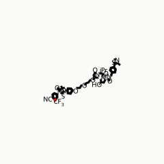 Cc1ncsc1-c1ccc(CNC(=O)[C@@H]2C[C@@H](O)CN2C(=O)[C@H](C(C)C)N2CC(OCCCOCCCOc3ccc(N4C(=S)N(c5ccc(C#N)c(C(F)(F)F)c5)C(=O)C4(C)C)cc3)=CC2=O)cc1